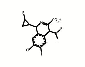 O=C(O)C1=NC(C2CC2F)c2cc(Cl)c(F)cc2C1B(F)F